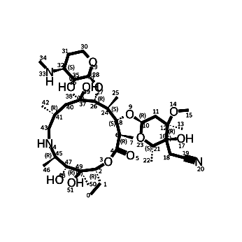 CC[C@H]1OC(=O)[C@H](C)[C@@H](O[C@H]2C[C@@](C)(OC)[C@](O)(CC#N)[C@H](C)O2)[C@H](C)[C@@H](O[C@@H]2OCC[C@H](NC)[C@H]2O)[C@](C)(O)C[C@@H](C)CN[C@H](C)[C@@H](O)[C@]1(C)O